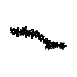 Cc1ccc(-c2nc3ccc(C(C)(c4ccc5oc(-c6ccc(-c7ccc8c(c7)C(=O)C(c7ccc(-c9ccc(N%10C(=O)c%11ccc(C)cc%11C%10=O)cc9C(F)(F)F)c(C)c7)C8=O)cc6)nc5c4)C(F)(F)F)cc3o2)cc1